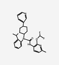 Cc1ccc(NC(=O)N(c2ccccc2C(C)C)C2CCC(c3cccnc3)CC2)c(OC(F)F)n1